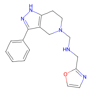 c1ccc(-c2n[nH]c3c2CN(CNCc2ncco2)CC3)cc1